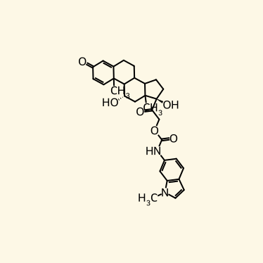 Cn1ccc2ccc(NC(=O)OCC(=O)[C@@]3(O)CCC4C5CCC6=CC(=O)C=CC6(C)C5[C@@H](O)CC43C)cc21